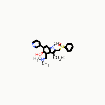 CCOC(=O)c1c(C[S+]([O-])c2ccccc2)n(C)c2cc(-c3cccnc3)c(O)c(CN(C)C)c12